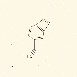 C#Cc1ccc2c(c1)C=C2